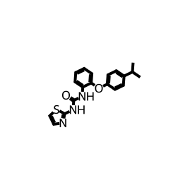 CC(C)c1ccc(Oc2ccccc2NC(=O)Nc2nccs2)cc1